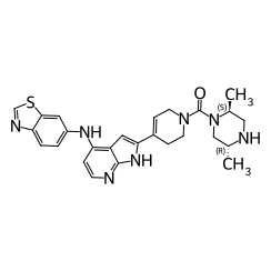 C[C@@H]1CN(C(=O)N2CC=C(c3cc4c(Nc5ccc6ncsc6c5)ccnc4[nH]3)CC2)[C@@H](C)CN1